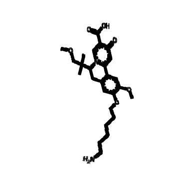 COCC(C)(C)C1Cc2cc(OCCCCCCN)c(OC)cc2-c2cc(=O)c(C(=O)O)cn21